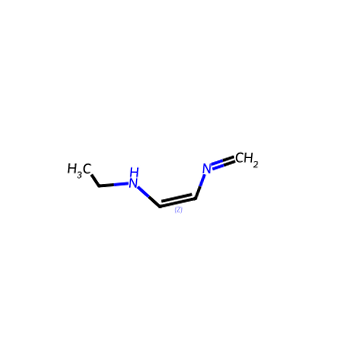 C=N/C=C\NCC